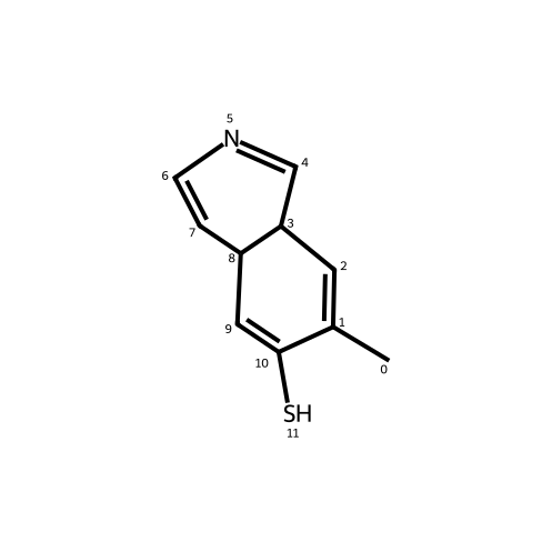 CC1=CC2C=NC=CC2C=C1S